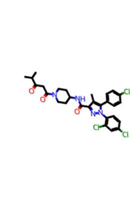 Cc1c(C(=O)NC2CCN(C(=O)CC(=O)C(C)C)CC2)nn(-c2ccc(Cl)cc2Cl)c1-c1ccc(Cl)cc1